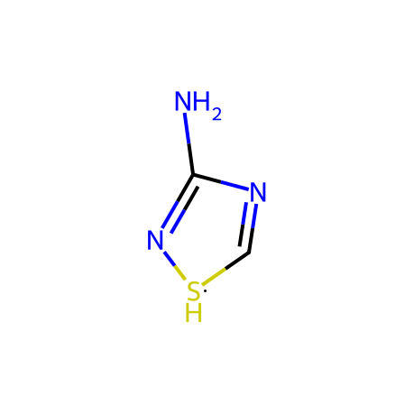 NC1=N[SH]C=N1